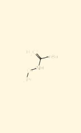 C=C(CCCC)NOC(C)C